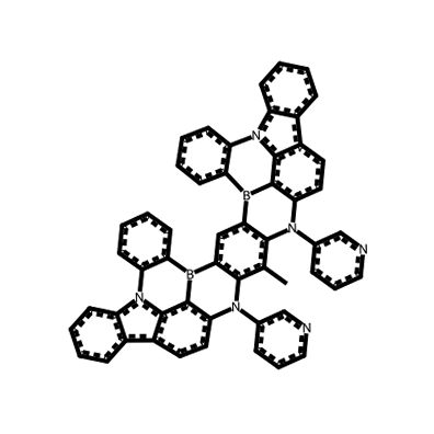 Cc1c2c(cc3c1N(c1cccnc1)c1ccc4c5ccccc5n5c4c1B3c1ccccc1-5)B1c3ccccc3-n3c4ccccc4c4ccc(c1c43)N2c1cccnc1